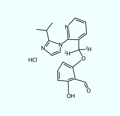 Cl.[2H]C([2H])(Oc1cccc(O)c1C=O)c1cccnc1-n1ccnc1C(C)C